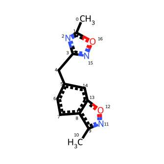 Cc1nc(Cc2ccc3c(C)noc3c2)no1